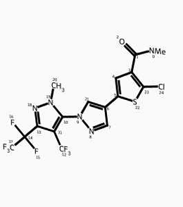 CNC(=O)c1cc(-c2cnn(-c3c(C(F)(F)F)c(C(F)(F)C(F)(F)F)nn3C)c2)sc1Cl